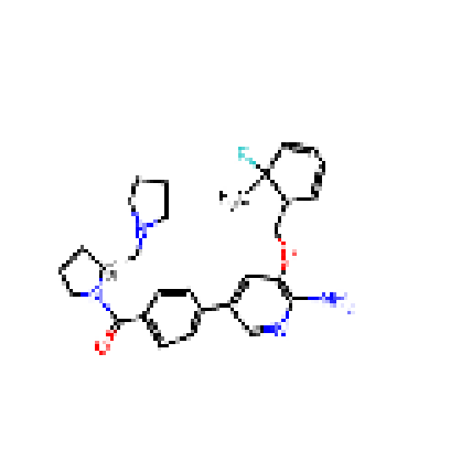 Nc1ncc(-c2ccc(C(=O)N3CCC[C@@H]3CN3CCCC3)cc2)cc1OCC1C=CC=CC1(F)C(F)(F)F